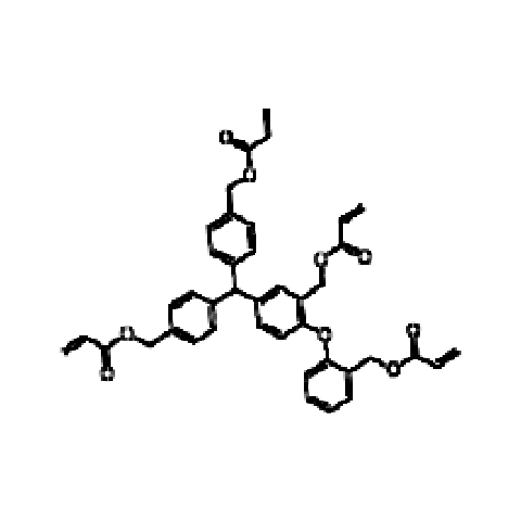 C=CC(=O)OCc1ccc(C(c2ccc(COC(=O)C=C)cc2)c2ccc(Oc3ccccc3COC(=O)C=C)c(COC(=O)C=C)c2)cc1